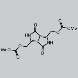 COC(=O)OCC1=C2C(=O)NC(COC(=O)OC)=C2C(=O)N1